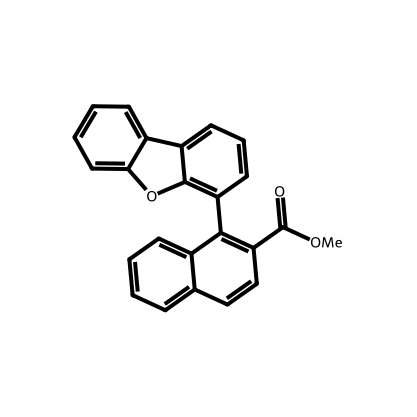 COC(=O)c1ccc2ccccc2c1-c1cccc2c1oc1ccccc12